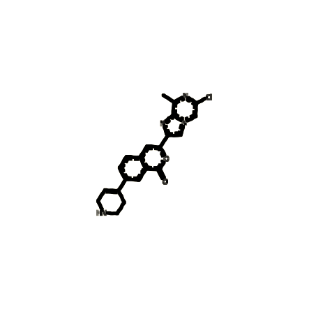 Cc1nc(Cl)cn2cc(-c3cc4ccc(C5=CCNCC5)cc4c(=O)o3)nc12